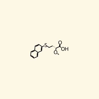 CO[C@H](CCSc1ccc2ccccc2c1)C(=O)O